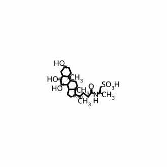 C[C@H](CS(=O)(=O)O)NC(=O)CC[C@@H](C)[C@H]1CCC2C3C(CC[C@@]21C)[C@@]1(C)CC[C@@H](O)CC1[C@@H](O)[C@H]3O